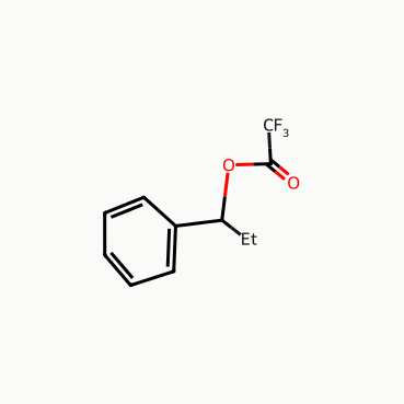 CCC(OC(=O)C(F)(F)F)c1ccccc1